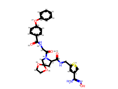 NC(=NO)c1csc(CNC(=O)C2CC3(CN2C(=O)CNC(=O)c2ccc(Oc4ccccc4)cc2)OCCO3)c1